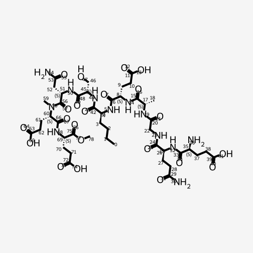 CCCC[C@H](NC(=O)[C@H](CCC(=O)O)NC(=O)[C@H](C)NC(=O)CNC(=O)[C@H](CCC(N)=O)NC(=O)[C@@H](N)CCC(=O)O)C(=O)N[C@@H](CO)C(=O)N[C@@H](CC(N)=O)C(=O)N(C)[C@@H](CCC(=O)O)C(=O)N[C@@H](CCC(=O)O)C(=O)OC